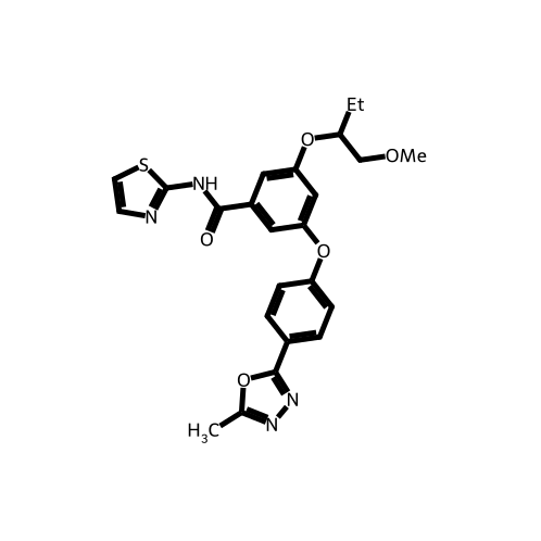 CCC(COC)Oc1cc(Oc2ccc(-c3nnc(C)o3)cc2)cc(C(=O)Nc2nccs2)c1